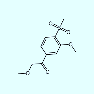 COCC(=O)c1ccc(S(C)(=O)=O)c(OC)c1